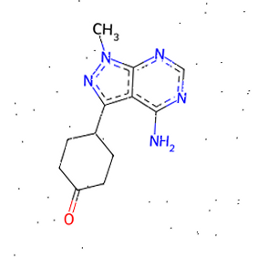 Cn1nc(C2CCC(=O)CC2)c2c(N)ncnc21